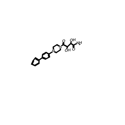 CNC(=O)C(O)C(O)C(=O)N1CCN(c2ccc(-c3ccccc3)cc2)CC1